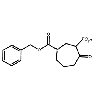 O=C(O)C1CN(C(=O)OCc2ccccc2)CCCC1=O